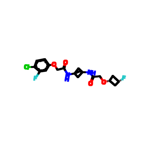 O=C(COc1ccc(Cl)c(F)c1)NC12CC(NC(=O)CO[C@H]3C[C@@H](F)C3)(C1)C2